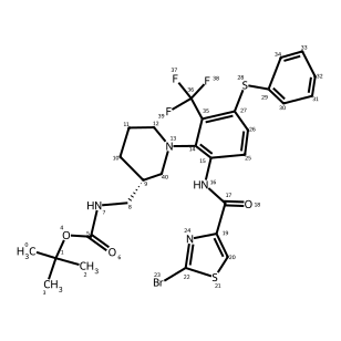 CC(C)(C)OC(=O)NC[C@@H]1CCCN(c2c(NC(=O)c3csc(Br)n3)ccc(Sc3ccccc3)c2C(F)(F)F)C1